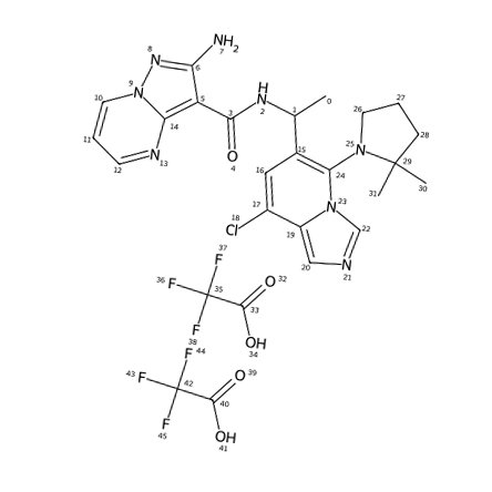 CC(NC(=O)c1c(N)nn2cccnc12)c1cc(Cl)c2cncn2c1N1CCCC1(C)C.O=C(O)C(F)(F)F.O=C(O)C(F)(F)F